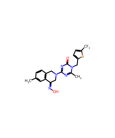 Cc1ccc2c(c1)/C(=N/O)CN(c1nc(C)n(Cc3ccc(C(F)(F)F)s3)c(=O)n1)C2